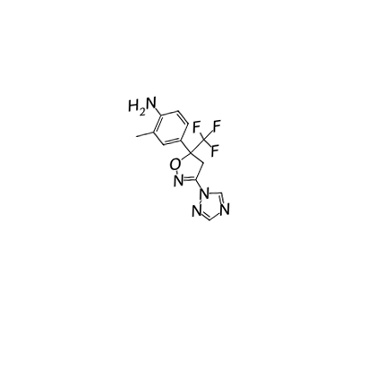 Cc1cc(C2(C(F)(F)F)CC(n3cncn3)=NO2)ccc1N